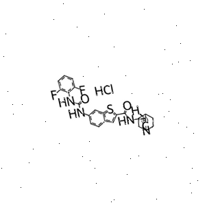 Cl.O=C(Nc1ccc2cc(C(=O)N[C@H]3CN4CCC3CC4)sc2c1)Nc1c(F)cccc1F